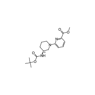 COC(=O)c1cccc(N2CCC[C@H](NC(=O)OC(C)(C)C)C2)n1